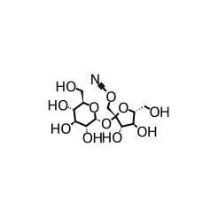 N#COC[C@@]1(O[C@H]2O[C@H](CO)[C@@H](O)[C@H](O)[C@H]2O)O[C@H](CO)[C@@H](O)[C@@H]1O